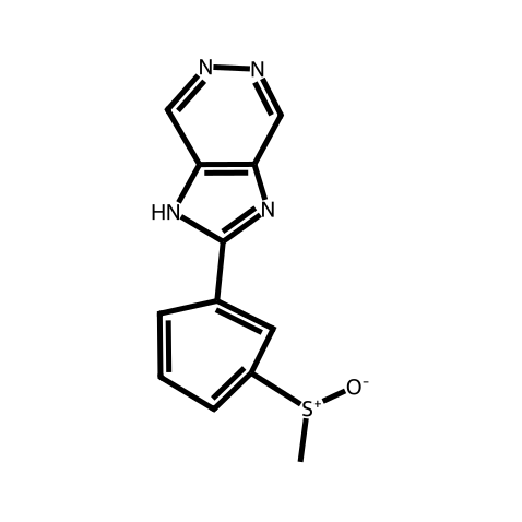 C[S+]([O-])c1cccc(-c2nc3cnncc3[nH]2)c1